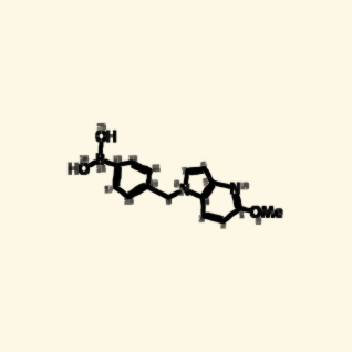 COc1ccc2c(ccn2Cc2ccc(B(O)O)cc2)n1